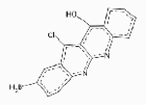 Bc1ccc2nc3nc4ccccc4c(O)c3c(Cl)c2c1